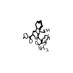 COC(=O)c1cc2c([nH]c3ccccc32)c(-c2nnsc2C(N)=O)n1